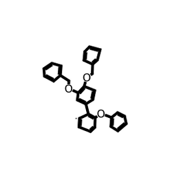 [c]1cccc(Oc2ccccc2)c1-c1ccc(OCc2ccccc2)c(OCc2ccccc2)c1